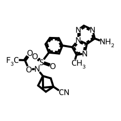 Cc1nc2c(N)ncnn2c1-c1cccc(S(=O)(=O)N(OC(=O)C(F)(F)F)C23CCC(C#N)(C2)C3)c1